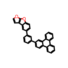 c1cc(-c2ccc3oc4occc4c3c2)cc(-c2ccc3c4ccccc4c4ccccc4c3c2)c1